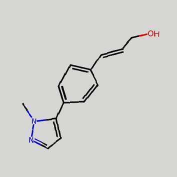 Cn1nccc1-c1ccc(C=CCO)cc1